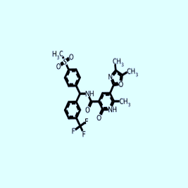 Cc1nc(-c2cc(C(=O)NC(c3ccc(S(C)(=O)=O)cc3)c3cccc(C(F)(F)F)c3)c(=O)[nH]c2C)oc1C